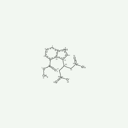 COC(=O)c1cccc2[nH]cc(C(C[N+](=O)[O-])C[N+](=O)[O-])c12